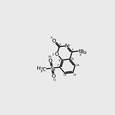 CC(C)(C)c1nc(=O)oc2c(S(C)(=O)=O)cccc12